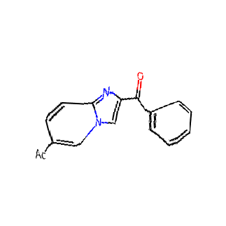 CC(=O)c1ccc2nc(C(=O)c3ccccc3)cn2c1